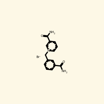 NC(=O)c1cccc(C[n+]2cccc(C(N)=O)c2)c1.[Br-]